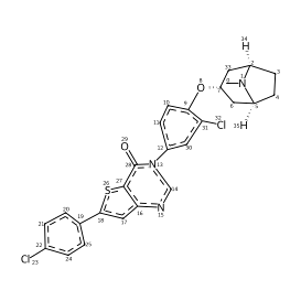 CN1[C@@H]2CC[C@H]1C[C@H](Oc1ccc(-n3cnc4cc(-c5ccc(Cl)cc5)sc4c3=O)cc1Cl)C2